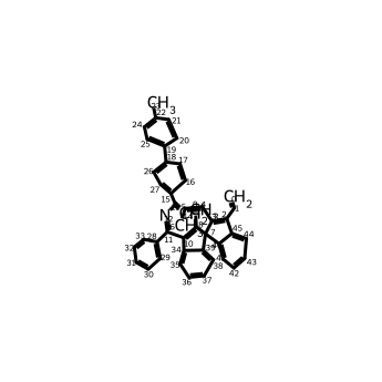 C=CC1=C(/C=C\C)C2(C(C)=C(/C(=N\C(=C)c3ccc(-c4ccc(C)cc4)cc3)c3ccccc3)c3ccccc32)c2ccccc21